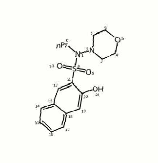 CCCN(N1CCOCC1)S(=O)(=O)c1cc2ccccc2cc1O